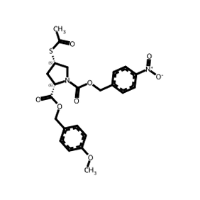 COc1ccc(COC(=O)[C@@H]2C[C@H](SC(C)=O)CN2C(=O)OCc2ccc([N+](=O)[O-])cc2)cc1